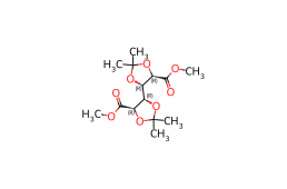 COC(=O)[C@@H]1OC(C)(C)O[C@@H]1[C@H]1OC(C)(C)O[C@H]1C(=O)OC